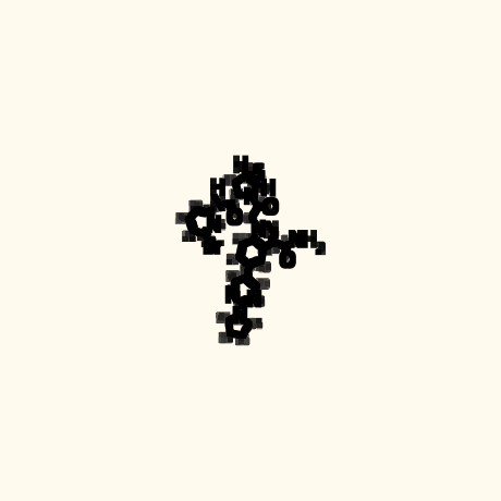 NC(=O)c1nn(CC(=O)N2[C@@H]3S[C@@H]3C[C@H]2C(=O)Nc2cccc(Br)n2)c2ccc(-c3cnc(N4CCCC4)nc3)cc12